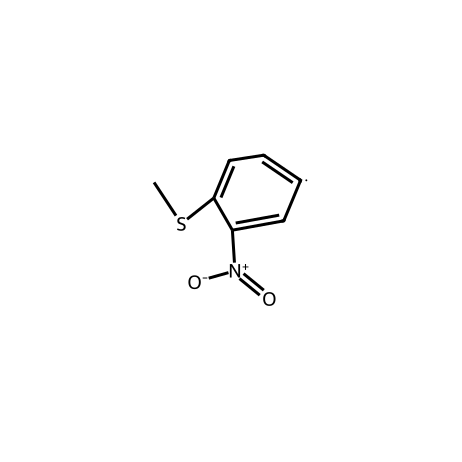 CSc1cc[c]cc1[N+](=O)[O-]